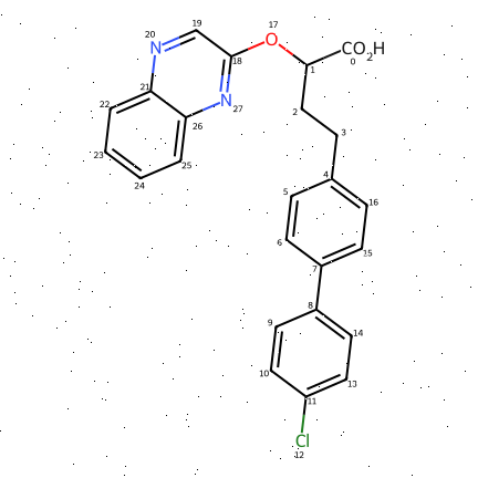 O=C(O)C(CCc1ccc(-c2ccc(Cl)cc2)cc1)Oc1cnc2ccccc2n1